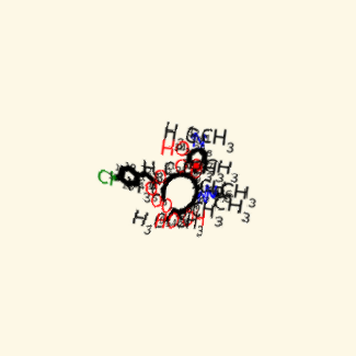 CC[C@H]1OC(=O)[C@H](C)[C@@H](OC(=O)Cc2ccc(Cl)cc2)[C@H](C)[C@@H](OC2OC(C)CC(N(C)C)C2O)[C@](C)(OC)C[C@@H](C)/C(=N\N=C(C)C)[C@H](C)[C@@H](O)[C@]1(C)O